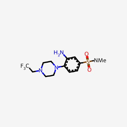 CNS(=O)(=O)c1ccc(N2CCN(CC(F)(F)F)CC2)c(N)c1